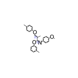 COc1ccc(/N=C(Oc2cccc(C)c2)\C(C)=C\Oc2ccc(C)cc2)cc1